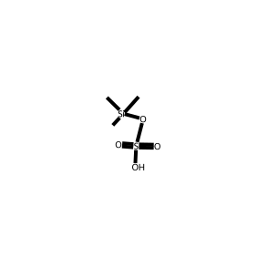 C[Si](C)(C)OS(=O)(=O)O